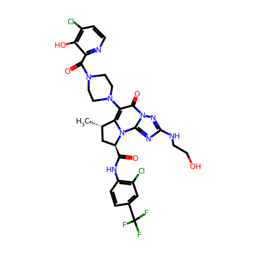 C[C@H]1C[C@H](C(=O)Nc2ccc(C(F)(F)F)cc2Cl)n2c1c(N1CCN(C(=O)c3nccc(Cl)c3O)CC1)c(=O)n1nc(NCCO)nc21